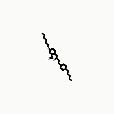 CCCCCCOc1ccc2cc(CCc3ccc(CCCCC)cc3)oc(=O)c2c1